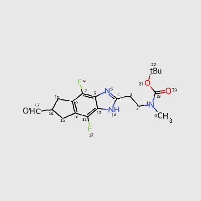 CN(CCc1nc2c(F)c3c(c(F)c2[nH]1)CC(C=O)C3)C(=O)OC(C)(C)C